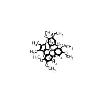 COc1cc(C)c([Si](C2=C(C)C(C)=C(C)C2C)(c2cc(OC)c(OC)cc2C)c2cc(OC)c(OC)cc2C)cc1OC